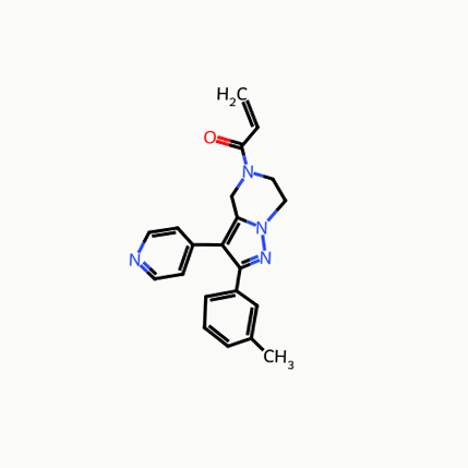 C=CC(=O)N1CCn2nc(-c3cccc(C)c3)c(-c3ccncc3)c2C1